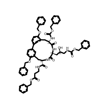 O=C(CCNC(=O)[C@@H]1Cc2cc(ccc2OCc2ccccc2)-c2ccc(OCc3ccccc3)c(c2)C[C@H](NC(=O)OCc2ccccc2)C(=O)N[C@@H](C[C@@H](O)CNC(=O)OCc2ccccc2)C(=O)N1)OCc1ccccc1